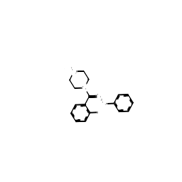 CCOC(=O)N1CCN(C(=NNc2ccccc2)c2ccccc2F)CC1